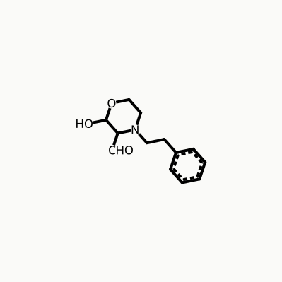 O=CC1C(O)OCCN1CCc1ccccc1